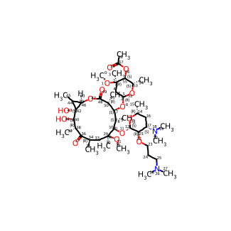 CO[C@]1(C)C[C@H](O[C@H]2[C@H](C)[C@@H](O[C@@H]3O[C@H](C)C[C@H](N(C)C)[C@H]3OCCCN(C)C)[C@@](C)(OC)C[C@@H](C)C(=O)[C@H](C)[C@@H](O)[C@@]3(O)C(C)[C@H]3OC(=O)[C@@H]2C)O[C@@H](C)[C@@H]1OC(C)=O